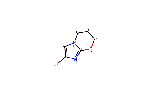 Ic1cn2c(n1)OCCC2